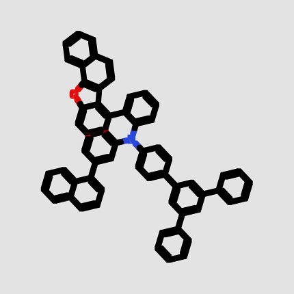 c1ccc(-c2cc(-c3ccccc3)cc(-c3ccc(N(c4cccc(-c5cccc6ccccc56)c4)c4ccccc4-c4cccc5oc6c7ccccc7ccc6c45)cc3)c2)cc1